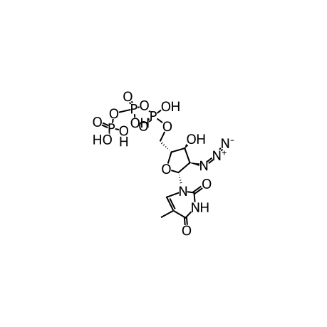 Cc1cn([C@@H]2O[C@H](COP(=O)(O)OP(=O)(O)OP(=O)(O)O)[C@@H](O)[C@H]2N=[N+]=[N-])c(=O)[nH]c1=O